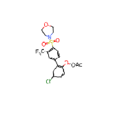 CC(=O)OOc1ccc(Cl)cc1-c1ccc(S(=O)(=O)N2CCOCC2)c(C(F)(F)F)c1